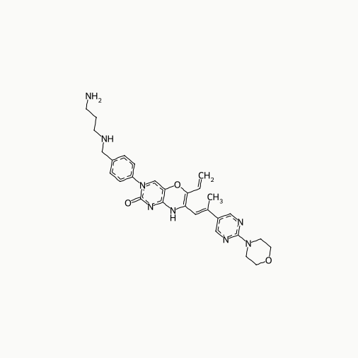 C=CC1=C(/C=C(\C)c2cnc(N3CCOCC3)nc2)Nc2nc(=O)n(-c3ccc(CNCCCN)cc3)cc2O1